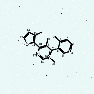 Cc1ccccc1-c1c(C)c(-c2sccc2C)nc[n+]1C